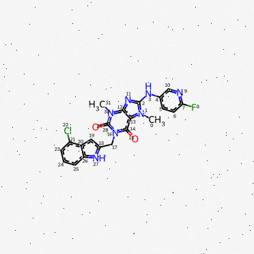 Cn1c(Nc2ccc(F)nc2)nc2c1c(=O)n(Cc1cc3c(Cl)cccc3[nH]1)c(=O)n2C